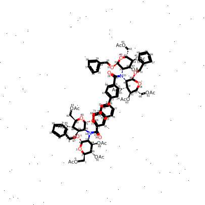 CC(=O)OC[C@H]1O[C@H](OCc2ccccc2)[C@@H](N(C(=O)c2ccc(/C=C/c3ccc(C(=O)N([C@@H]4[C@@H](OCc5ccccc5)O[C@H](COC(C)=O)[C@@H](OC(C)=O)[C@@H]4OC(C)=O)[C@@H]4[C@@H](OCc5ccccc5)O[C@H](COC(C)=O)[C@@H](OC(C)=O)[C@@H]4OC(C)=O)cc3)cc2)[C@@H]2[C@@H](OCc3ccccc3)O[C@H](COC(C)=O)[C@@H](OC(C)=O)[C@@H]2OC(C)=O)[C@@H](OC(C)=O)[C@@H]1OC(C)=O